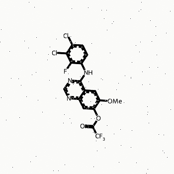 COc1cc2c(Nc3ccc(Cl)c(Cl)c3F)ncnc2cc1OC(=O)C(F)(F)F